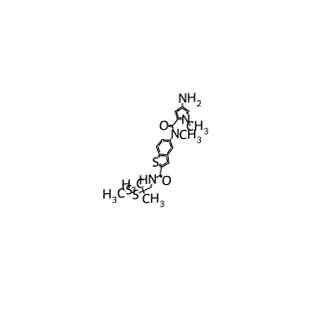 CSSC(C)(C)CNC(=O)c1cc2cc(N(C)C(=O)c3cc(N)cn3C)ccc2s1